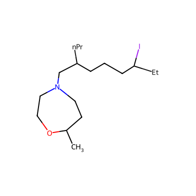 CCCC(CCCC(I)CC)CN1CCOC(C)CC1